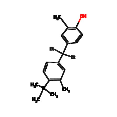 CCC(CC)(c1ccc(O)c(C)c1)c1ccc([Si](C)(C)C)c(C)c1